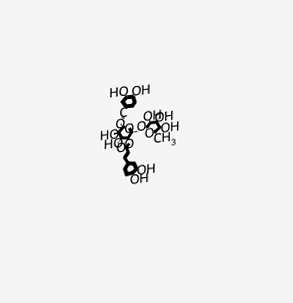 C[C@@H]1O[C@@H](OC[C@H]2O[C@@H](OCCc3ccc(O)c(O)c3)[C@H](O)[C@@H](O)[C@@H]2OC(=O)/C=C/c2ccc(O)c(O)c2)[C@H](O)[C@H](O)[C@H]1O